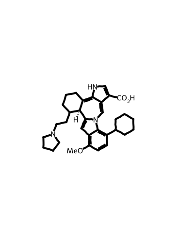 COc1ccc(C2CCCCC2)c2c1cc1n2C=c2c(C(=O)O)c[nH]c2=C2CCCC(CCN3CCCC3)[C@@H]21